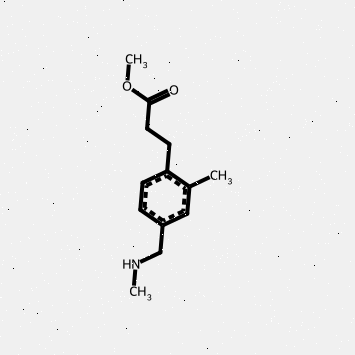 CNCc1ccc(CCC(=O)OC)c(C)c1